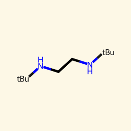 CC(C)(C)NCCNC(C)(C)C